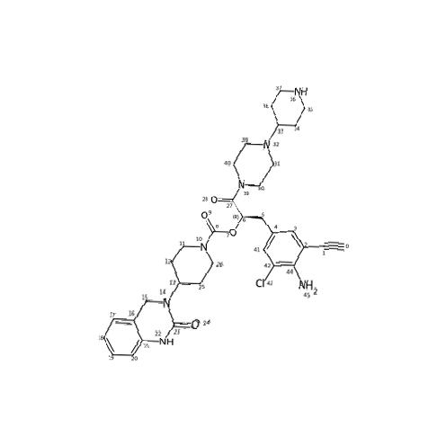 C#Cc1cc(C[C@@H](OC(=O)N2CCC(N3Cc4ccccc4NC3=O)CC2)C(=O)N2CCN(C3CCNCC3)CC2)cc(Cl)c1N